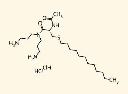 CCCCCCCCCCCCSC[C@@H](NC(C)=O)C(=O)N(CCCN)CCCN.Cl.Cl